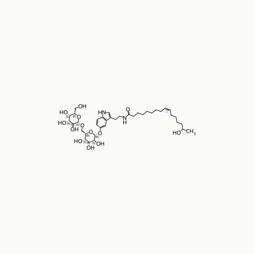 CC(O)CCCC/C=C\CCCCCCCC(=O)NCCc1c[nH]c2ccc(O[C@H]3O[C@H](CO[C@H]4O[C@H](CO)[C@@H](O)[C@@H](O)[C@@H]4O)[C@@H](O)[C@@H](O)[C@@H]3O)cc12